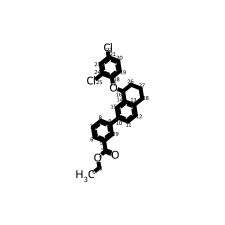 CCOC(=O)c1cccc(-c2ccc3c(c2)C(Oc2ccc(Cl)cc2Cl)CCC3)c1